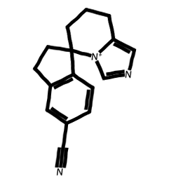 N#Cc1ccc2c(c1)CCC21CCCC2=CN=C[N+]21